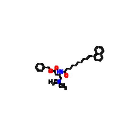 CN(C)C[C@@H](CC(=O)OCc1ccccc1)NC(=O)CCCCCCC/C=C/c1cccc2ccccc12